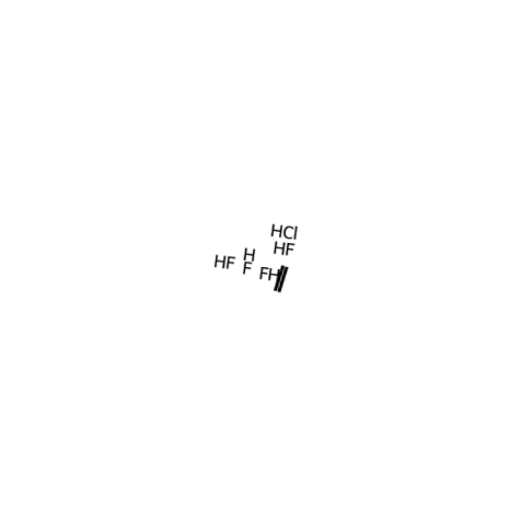 C=C.Cl.F.F.F.F